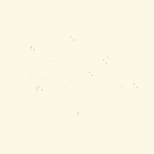 COc1ncc(C#N)cc1S(=O)(=O)Nc1ccc(F)c(-c2ccc3c(-c4ccno4)ncn3c2)c1F